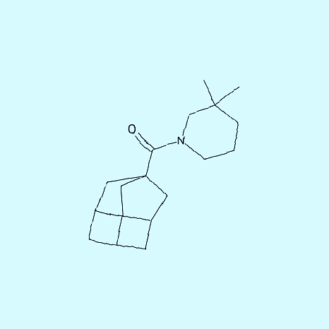 CC1(C)CCCN(C(=O)C23CC4CC5CC(C2)C54C3)C1